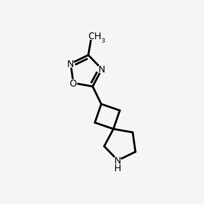 Cc1noc(C2CC3(CCNC3)C2)n1